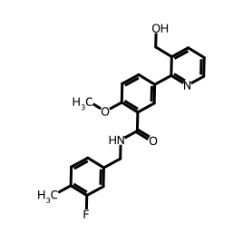 COc1ccc(-c2ncccc2CO)cc1C(=O)NCc1ccc(C)c(F)c1